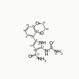 NC(=O)Nc1[nH]c(-c2cccc3c2OCCO3)cc1C(N)=O